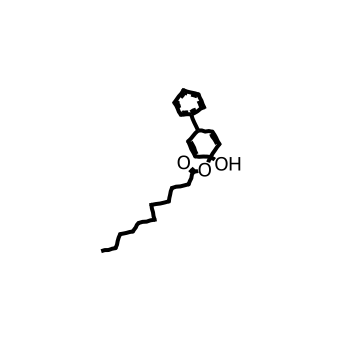 CCCCCCCCCCC(=O)OC1(O)C=CC(c2ccccc2)C=C1